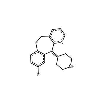 Fc1ccc2c(c1)C(=C1CCNCC1)c1ncccc1CC2